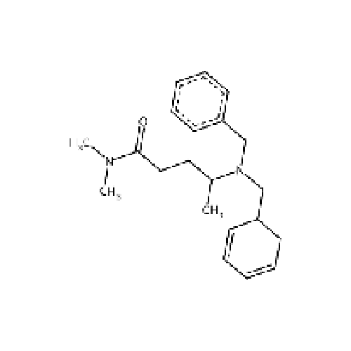 CC(CCC(=O)N(C)C)N(Cc1ccccc1)CC1C=CC=CC1